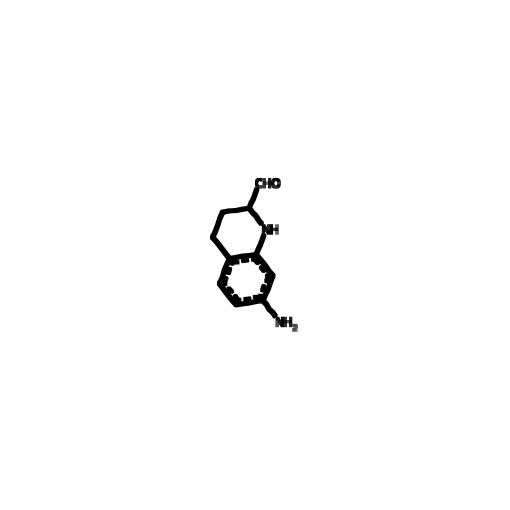 Nc1ccc2c(c1)NC(C=O)CC2